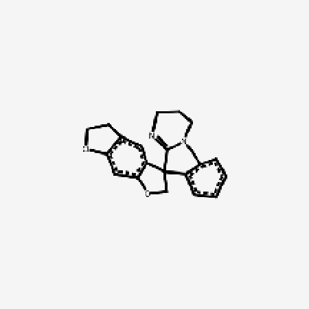 c1ccc2c(c1)N1CCCN=C1C21COc2cc3c(cc21)CCO3